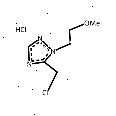 COCCn1ncnc1CCl.Cl